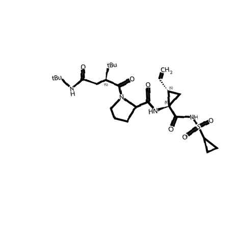 C=C[C@@H]1C[C@]1(NC(=O)C1CCCN1C(=O)[C@@H](CC(=O)NC(C)(C)C)C(C)(C)C)C(=O)NS(=O)(=O)C1CC1